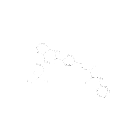 CC(C)(C)OC(=O)Nc1ccccc1NC(=O)c1ccc(CNC(=O)C(=O)Nc2cccnc2)cc1